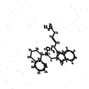 CN(Cc1nc2ccccc2n1CC=CCN)C1CCCc2cccnc21